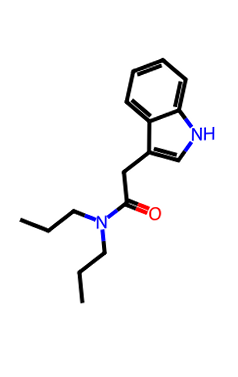 CCCN(CCC)C(=O)Cc1c[nH]c2ccccc12